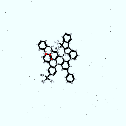 CC(C)(C)c1ccc(N2c3cc4c(cc3B3c5c(cc(-c6ccccc6)cc52)-c2cccc5c6c(n3c25)C(C)(C)c2ccccc2-6)Oc2ccccc2O4)c(-c2ccccc2)c1